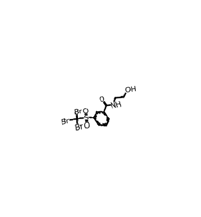 O=C(NCCO)c1cccc(S(=O)(=O)C(Br)(Br)Br)c1